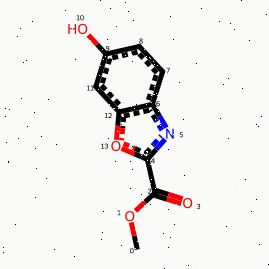 COC(=O)c1nc2ccc(O)cc2o1